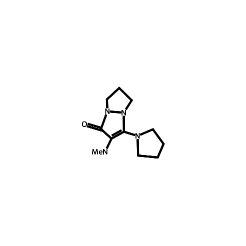 CNc1c(N2CCCC2)n2n(c1=O)CCC2